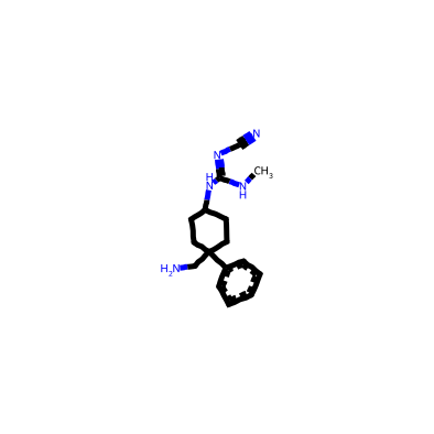 CN/C(=N\C#N)NC1CCC(CN)(c2ccccc2)CC1